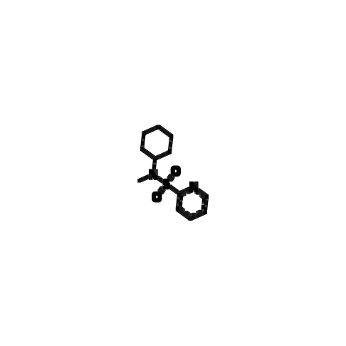 CN(C1CCCCC1)S(=O)(=O)c1ccccn1